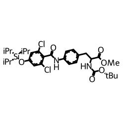 COC(=O)C(Cc1ccc(NC(=O)c2c(Cl)cc(O[Si](C(C)C)(C(C)C)C(C)C)cc2Cl)cc1)NC(=O)OC(C)(C)C